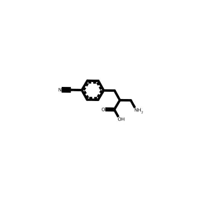 N#Cc1ccc(CC(CN)C(=O)O)cc1